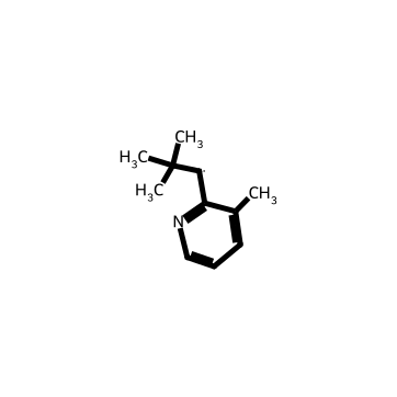 Cc1cccnc1[CH]C(C)(C)C